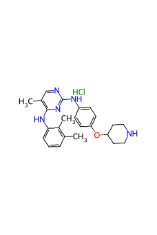 Cc1cnc(Nc2ccc(OC3CCNCC3)cc2)nc1Nc1cccc(C)c1C.Cl